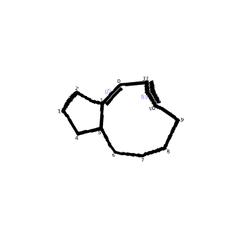 C1=C2/CCCC2CCCC/C=C/1